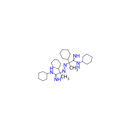 CC(/N=N/C(C)(C(=N)NC1CCCCC1)C1CCCCC1)(C(=N)NC1CCCCC1)C1CCCCC1